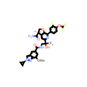 COc1cc(C(=O)NCC(O)(c2cc3c(c(-c4ccc(OC(F)F)c(F)c4)n2)OC[C@]3(C)C(N)=O)C(F)(F)F)cc2cn(C3CC3)nc12